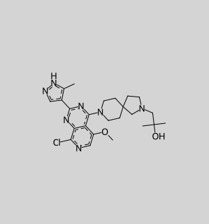 COc1cnc(Cl)c2nc(-c3cn[nH]c3C)nc(N3CCC4(CCN(CC(C)(C)O)C4)CC3)c12